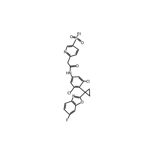 CCS(=O)(=O)c1ccc(CC(=O)Nc2cc(Cl)c(C3(c4nc5ccc(F)cc5o4)CC3)c(Cl)c2)nc1